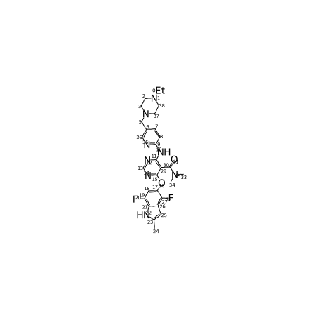 CCN1CCN(Cc2ccc(Nc3ncnc(Oc4cc(F)c5[nH]c(C)cc5c4F)c3C(=O)N(C)C)nc2)CC1